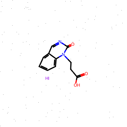 I.O=C(O)CCn1c(=O)ncc2ccccc21